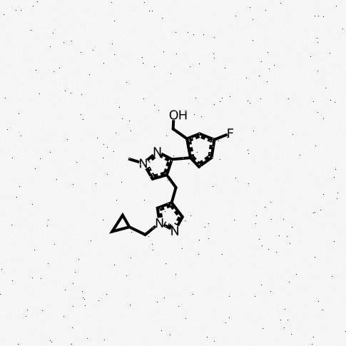 Cn1cc(Cc2cnn(CC3CC3)c2)c(-c2ccc(F)cc2CO)n1